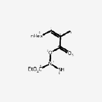 CCCCCCC=C(C)C(=O)ON(S)C(=O)OCC